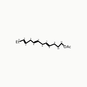 CC/C=C/C/C=C/C/C=C/CCCOC(C)=O